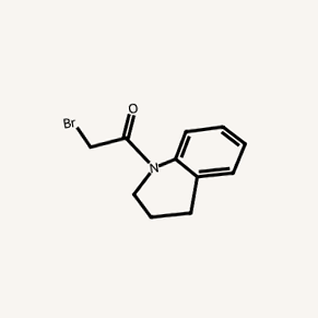 O=C(CBr)N1CCCc2ccccc21